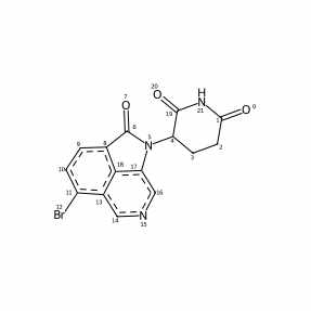 O=C1CCC(N2C(=O)c3ccc(Br)c4cncc2c34)C(=O)N1